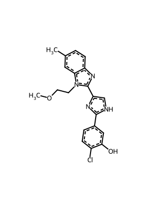 COCCn1c(-c2c[nH]c(-c3ccc(Cl)c(O)c3)n2)nc2ccc(C)cc21